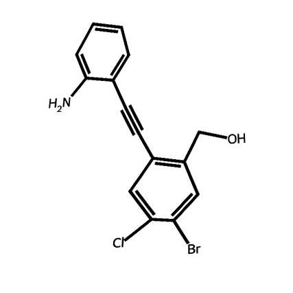 Nc1ccccc1C#Cc1cc(Cl)c(Br)cc1CO